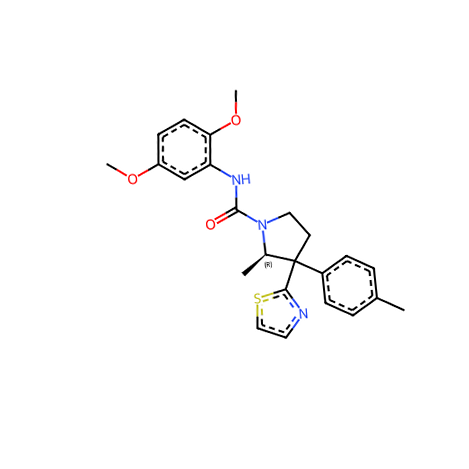 COc1ccc(OC)c(NC(=O)N2CCC(c3ccc(C)cc3)(c3nccs3)[C@H]2C)c1